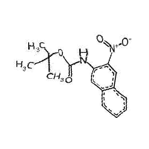 CC(C)(C)OC(=O)Nc1cc2ccccc2cc1[N+](=O)[O-]